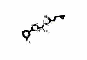 Cc1cccc(C2=NOC([C@H](C)NOC(=N)/C=C/C3CC3)N2)c1